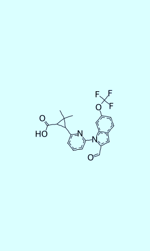 CC1(C)C(C(=O)O)C1c1cccc(-n2c(C=O)cc3ccc(OC(F)(F)F)cc32)n1